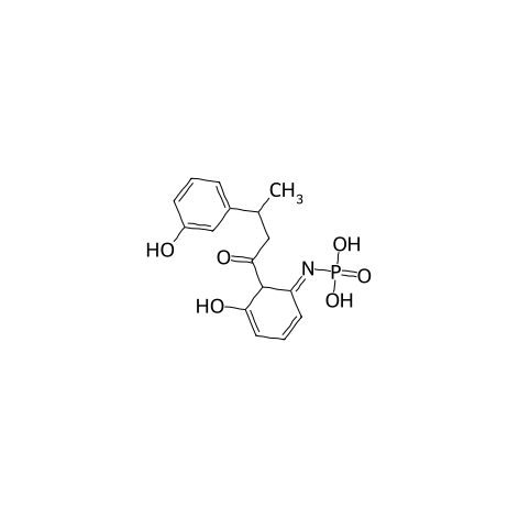 CC(CC(=O)C1C(O)=CC=CC1=NP(=O)(O)O)c1cccc(O)c1